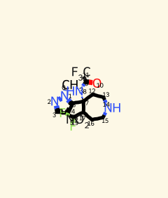 Cn1ncc([N+](=O)[O-])c1[C@@]1(NC(=O)C(F)(F)F)CCNCCC1C(F)F